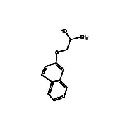 [CH2]C(O)COc1ccc2ccccc2c1